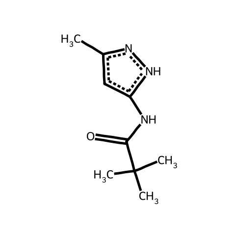 Cc1cc(NC(=O)C(C)(C)C)[nH]n1